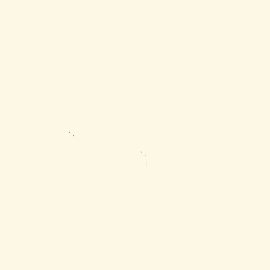 Cc1ccc(NC(=O)C[n+]2ccccc2)c(O)c1.[Cl-]